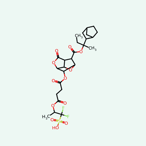 CCC(C)(OC(=O)C1C2OC3C(OC(=O)C31)C2OC(=O)CCC(=O)OC(C)C(F)(F)S(=O)(=O)O)C1CC2CCC1C2